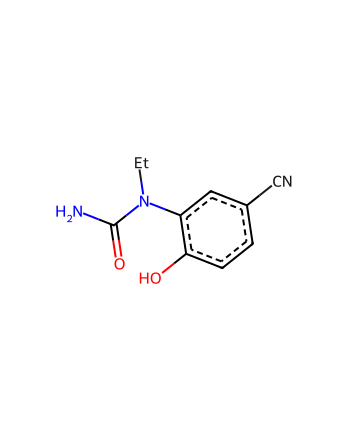 CCN(C(N)=O)c1cc(C#N)ccc1O